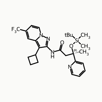 CC(C)(C)[Si](C)(C)O[C@](C)(CC(=O)Nc1nn2ccc(C(F)(F)F)cc2c1C1CCC1)c1ccccn1